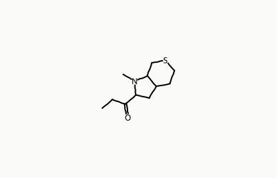 CCC(=O)C1CC2CCSCC2N1C